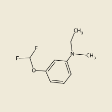 CCN(C)c1cccc(OC(F)F)c1